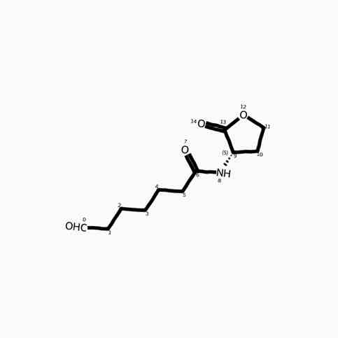 O=CCCCCCC(=O)N[C@H]1CCOC1=O